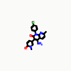 Cc1ccc2c(N)c(-c3ccc(=O)n(C)c3)c(=O)n(-c3ccc(Cl)cc3)c2n1